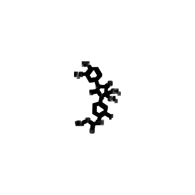 CC(C)(C)OC(=O)Nc1ccc(N2C(=S)N(c3ccc(C#N)c(C(F)(F)F)c3)C(=O)C2(C)C)cc1F